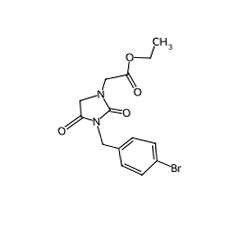 CCOC(=O)CN1CC(=O)N(Cc2ccc(Br)cc2)C1=O